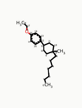 CCCCCCCC1(C)CCC(c2ccc(OCC)cc2)CC1